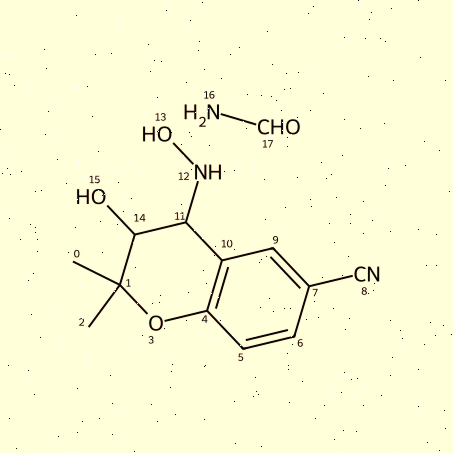 CC1(C)Oc2ccc(C#N)cc2C(NO)C1O.NC=O